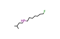 CC(C)CCPCCCCCCCF